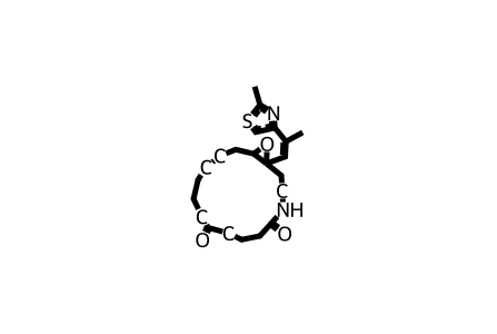 CC(=CC12CCNC(=O)CCCC(=O)CCCCCCC1O2)c1csc(C)n1